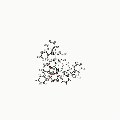 CC1(c2ccccc2)c2ccccc2-c2ccc(N(c3ccc(-c4cccc5c6ccccc6n(C6=CCCC=C6)c45)cc3)c3ccccc3-c3ccccc3-c3ccccc3-c3ccccc3)cc21